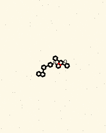 c1ccc(N(c2ccc(-c3cccc(-c4cccc5ccccc45)c3)cc2)c2ccccc2-c2ccc3c(c2)oc2ccccc23)cc1